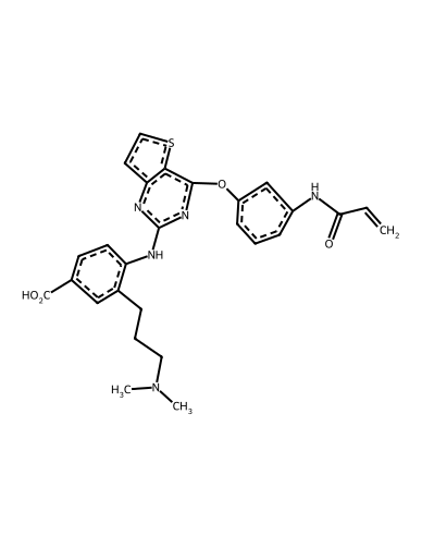 C=CC(=O)Nc1cccc(Oc2nc(Nc3ccc(C(=O)O)cc3CCCN(C)C)nc3ccsc23)c1